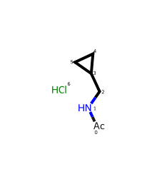 CC(=O)NCC1CC1.Cl